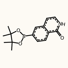 CC1(C)OB(c2ccc3c(=O)[nH]ccc3c2)OC1(C)C